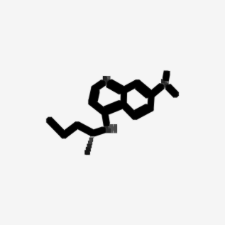 C[CH]C[C@@H](C)Nc1ccnc2cc(N(C)C)ccc12